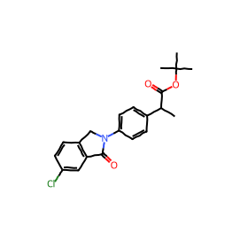 CC(C(=O)OC(C)(C)C)c1ccc(N2Cc3ccc(Cl)cc3C2=O)cc1